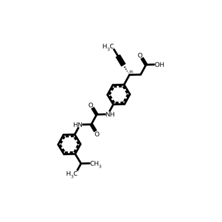 CC#C[C@H](CC(=O)O)c1ccc(NC(=O)C(=O)Nc2cccc(C(C)C)c2)cc1